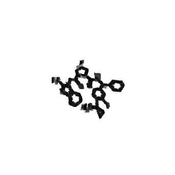 Cc1nc2ccccc2n1CC(=O)N1C[C@H](F)C[C@H]1C(=O)N[C@@H](c1ccccc1)c1ccc(C2(C)CC2)c(F)c1